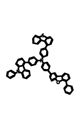 c1ccc(-c2cccc3c2oc2ccc(-c4ccc(N(c5ccc(-c6cccc7sc8ccccc8c67)cc5)c5ccc(-c6cccc7c6c6ccccc6n7-c6ccccc6)cc5)cc4)cc23)cc1